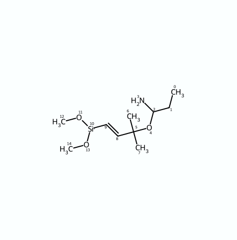 CCC(N)OC(C)(C)/C=C/[Si](OC)OC